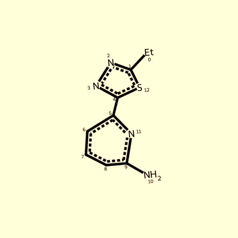 CCc1nnc(-c2cccc(N)n2)s1